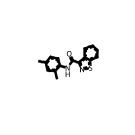 Cc1ccc(NC(=O)c2nsc3ccccc23)c(C)c1